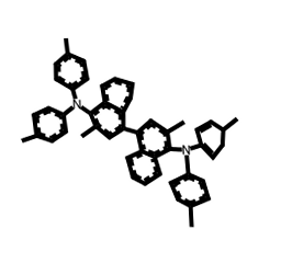 Cc1ccc(N(C2=CCC(C)C=C2)c2c(C)cc(-c3cc(C)c(N(c4ccc(C)cc4)c4ccc(C)cc4)c4ccccc34)c3ccccc23)cc1